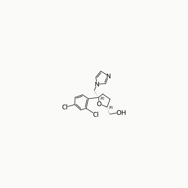 OC[C@H]1CC[C@](Cn2ccnc2)(c2ccc(Cl)cc2Cl)O1